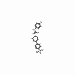 CS(=O)(=O)c1ccc([C@H]2CC[C@@H](CC(=O)Nc3ccc(Cl)cc3)CC2)cc1